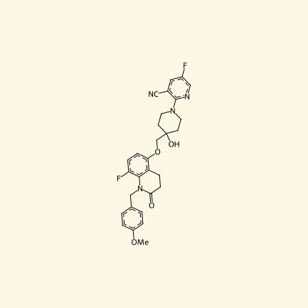 COc1ccc(CN2C(=O)CCc3c(OCC4(O)CCN(c5ncc(F)cc5C#N)CC4)ccc(F)c32)cc1